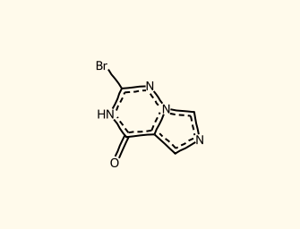 O=c1[nH]c(Br)nn2cncc12